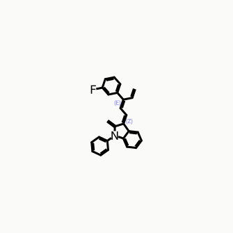 C=C/C(=C\C=c1/c(=C)n(-c2ccccc2)c2ccccc12)c1cccc(F)c1